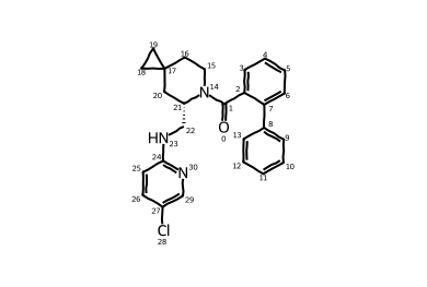 O=C(c1ccccc1-c1ccccc1)N1CCC2(CC2)C[C@H]1CNc1ccc(Cl)cn1